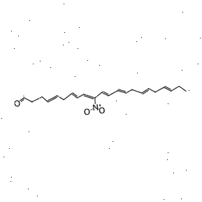 CC/C=C/C/C=C/C/C=C/C=C/C(=C/C=C/C/C=C/CC[C]=O)[N+](=O)[O-]